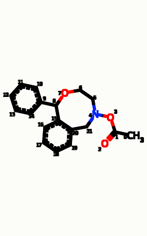 CC(=O)ON1CCOC(c2ccccc2)c2ccccc2C1